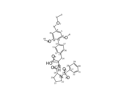 CCOCc1cc(OC)c(-c2ccc(CC(NC(=O)C3CCCN3S(=O)(=O)c3ccccc3)C(=O)O)cc2)c(OC)c1